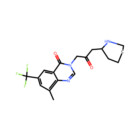 Cc1cc(C(F)(F)F)cc2c(=O)n(CC(=O)CC3CCCCN3)cnc12